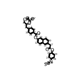 CCC(Cc1ccc(C(=O)Oc2ccc3cc(CC(=O)Oc4ccc(N=C=S)cc4)ccc3c2)cc1)O[N+](=O)[O-]